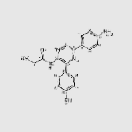 CC(C)CC(=O)Nc1ncc(-c2ccc(N)cc2)nc1-c1ccc(O)cc1